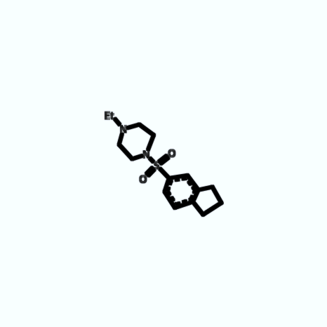 CCN1CCN(S(=O)(=O)c2ccc3c(c2)CCC3)CC1